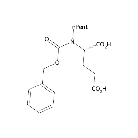 CCCCCN(C(=O)OCc1ccccc1)[C@@H](CCC(=O)O)C(=O)O